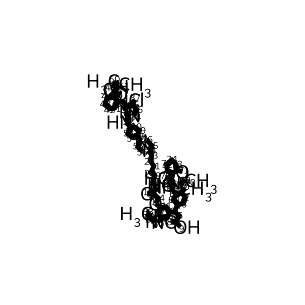 Cc1ccc(C(CC(=O)O)c2cc(OCC(=O)NCCCCCCN3CCN(c4ccc(Nc5ncc(Cl)c(Nc6ccccc6S(=O)(=O)C(C)C)n5)cc4)CC3)c3c(c2)nnn3C)cc1CN1CC(C)Oc2ccccc2S1(O)O